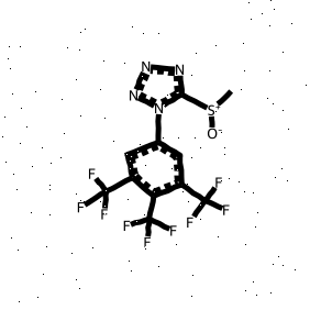 C[S+]([O-])c1nnnn1-c1cc(C(F)(F)F)c(C(F)(F)F)c(C(F)(F)F)c1